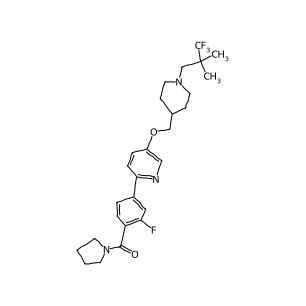 CC(C)(CN1CCC(COc2ccc(-c3ccc(C(=O)N4CCCC4)c(F)c3)nc2)CC1)C(F)(F)F